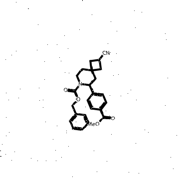 COC(=O)c1ccc(C2CC3(CCN2C(=O)OCc2ccccc2)CC(C#N)C3)cc1